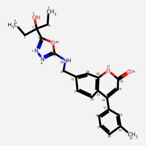 CCC(O)(CC)c1nnc(NCc2ccc3c(-c4cccc(C)c4)cc(=O)oc3c2)o1